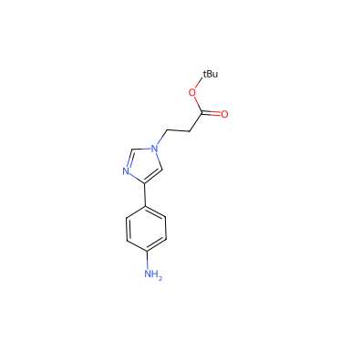 CC(C)(C)OC(=O)CCn1cnc(-c2ccc(N)cc2)c1